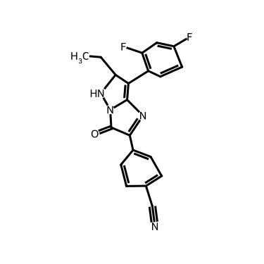 CCC1NN2C(=O)C(c3ccc(C#N)cc3)=NC2=C1c1ccc(F)cc1F